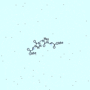 COC(=O)/C=C/n1nnn(Cn2nnn(/C=C/C(=O)OC)c2=O)c1=O